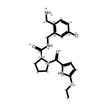 CCOc1ccc(C(=O)N2CCC[C@H]2C(=O)NCc2cc(Cl)ccc2CN)[nH]1